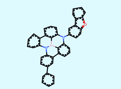 c1ccc(-c2ccc3c(c2)-c2cccc4c2B2c5c(cccc5N4c4ccc5oc6ccccc6c5c4)-c4ccccc4N23)cc1